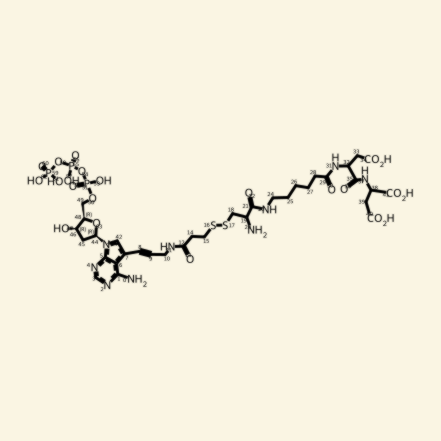 Nc1ncnc2c1c(C#CCNC(=O)CCSSCC(N)C(=O)NCCCCCC(=O)NC(CC(=O)O)C(=O)NC(CC(=O)O)C(=O)O)cn2[C@H]1C[C@@H](O)[C@@H](COP(=O)(O)OP(=O)(O)OP(=O)(O)O)O1